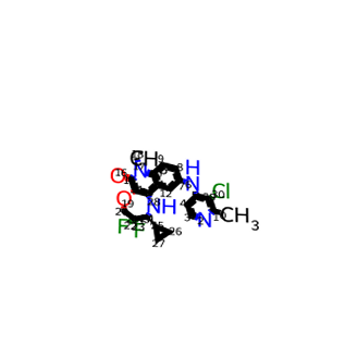 Cc1nccc(Nc2ccc3c(c2)c2c(c(=O)n3C)OCC(F)(F)[C@H](C3CC3)N2)c1Cl